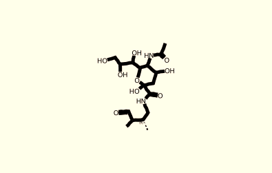 CC(=O)NC1C(O)CC(O)(C(=O)NC[C@H](C)C(C)C=O)OC1C(O)C(O)CO